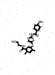 Cc1cc(C)c(C(=O)NCCC#N)cc1Sc1cnc(NC(=O)c2ccc(C(C)(C)C)cc2)s1